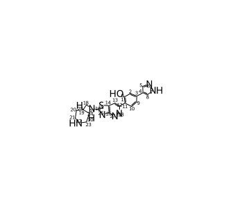 Oc1cc(-c2cn[nH]c2)ccc1-c1cc2sc(N3C[C@@H]4CCNC[C@@H]43)nc2nn1